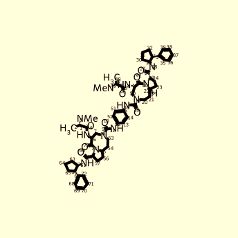 CN[C@@H](C)C(=O)NC1CN(C(=O)Nc2ccc(NC(=O)N3CC[C@H]4CC[C@@H](C(=O)/N=C5\CCC[C@H]5c5ccccc5)N4C(=O)[C@@H](NC(=O)[C@H](C)NC)C3)cc2)CCC2CCC(C(=O)N[C@@H]3CCC[C@H]3c3ccccc3)N2C1=O